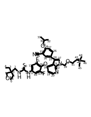 CCC(CC)(CO)CNC(=S)Nc1cc(F)c(Oc2ccnc3c2c(-c2ccc(OC(C)C)c(C#N)c2)cn3COCC[Si](C)(C)C)c(F)c1